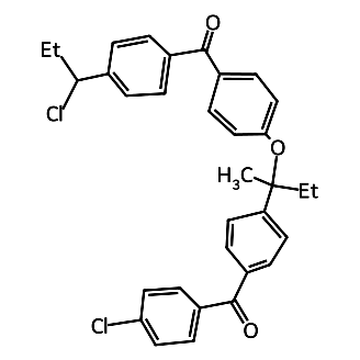 CCC(Cl)c1ccc(C(=O)c2ccc(OC(C)(CC)c3ccc(C(=O)c4ccc(Cl)cc4)cc3)cc2)cc1